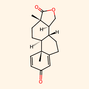 C[C@]12C=CC(=O)C=C1CC[C@@H]1[C@@H]2CC[C@]2(C)C(=O)OC[C@@H]12